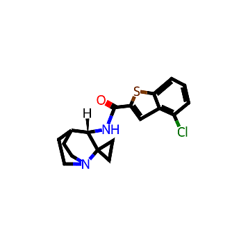 O=C(N[C@H]1C2CCN(CC2)C12CC2)c1cc2c(Cl)cccc2s1